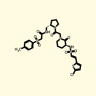 Cc1ccc(S(=O)(=O)CC(=O)NC[C@@H]2CCCN2C(=O)CN2CCC[C@H](NS(=O)(=O)/C=C/c3ccc(Cl)s3)C2=O)cc1